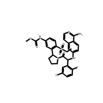 CCS(=O)(=O)c1ccc(NC(=O)OC)cc1C1CCCN1C(=O)C(Nc1ccc2c(N)nccc2c1)c1cc(Cl)ccc1F